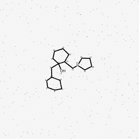 OC1(CC2CCCCC2)CCCCC1CN1CCCC1